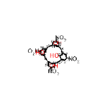 O=[N+]([O-])c1cc2c(O)c(c1)Cc1cc([N+](=O)[O-])cc(c1O)Cc1cc([N+](=O)[O-])cc(c1O)Cc1cc([N+](=O)[O-])cc(c1O)C2